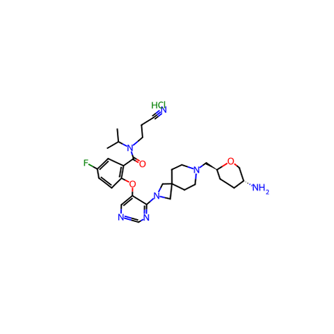 CC(C)N(CCC#N)C(=O)c1cc(F)ccc1Oc1cncnc1N1CC2(CCN(C[C@@H]3CC[C@@H](N)CO3)CC2)C1.Cl